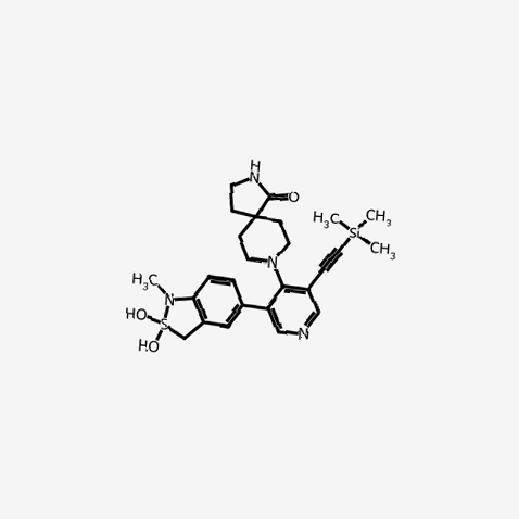 CN1c2ccc(-c3cncc(C#C[Si](C)(C)C)c3N3CCC4(CCNC4=O)CC3)cc2CS1(O)O